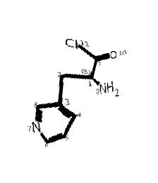 N[C@@H](Cc1cccnc1)C(=O)Cl